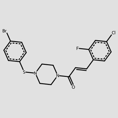 O=C(/C=C/c1ccc(Cl)cc1F)N1CCN(Sc2ccc(Br)cc2)CC1